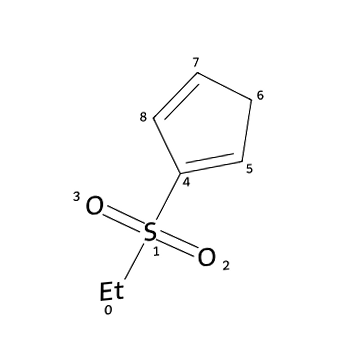 CCS(=O)(=O)C1=CCC=C1